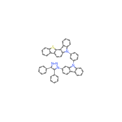 c1ccc(-c2nnn(-c3ccc4c5ccccc5n(-c5cccc(-n6c7ccccc7c7c8sc9ccccc9c8ccc76)c5)c4c3)c2-c2ccccc2)cc1